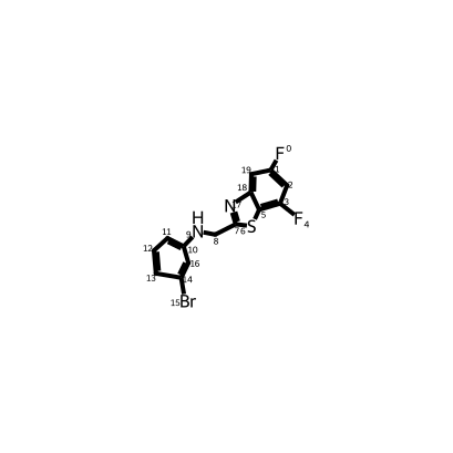 Fc1cc(F)c2sc(CNc3cccc(Br)c3)nc2c1